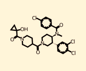 CN(C(=O)c1ccc(Cl)cc1)[C@@H]1CCN(C(=O)C2CCN(C(=O)C3(O)CC3)CC2)C[C@H]1c1ccc(Cl)c(Cl)c1